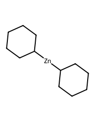 C1CC[CH]([Zn][CH]2CCCCC2)CC1